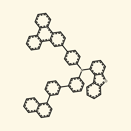 c1cc(-c2cccc(N(c3ccc(-c4ccc5c6ccccc6c6ccccc6c5c4)cc3)c3cccc4oc5ccccc5c34)c2)cc(-c2cccc3ccccc23)c1